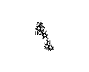 O=C1Oc2cc(CCNc3ncnc4nccnc34)ccc2C1(O)c1cc(C(F)(F)F)ccn1